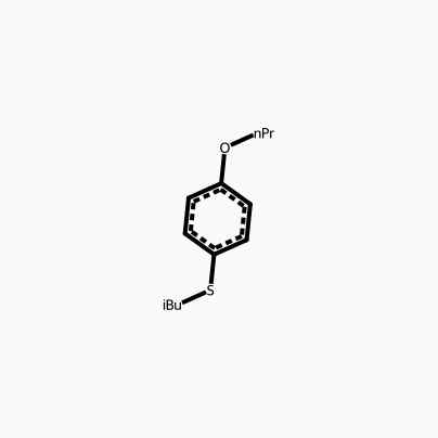 CCCOc1ccc(SC(C)CC)cc1